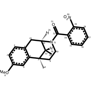 COc1ccc2c(c1)[C@]1(C)CCN(C(=O)c3ccccc3[N+](=O)[O-])[C@H](C2)[C@@H]1C